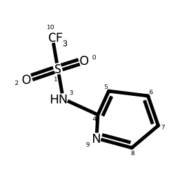 O=S(=O)(Nc1ccccn1)C(F)(F)F